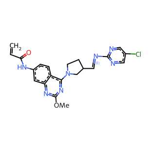 C=CC(=O)Nc1ccc2c(N3CCC(/C=N/c4ncc(Cl)cn4)C3)nc(OC)nc2c1